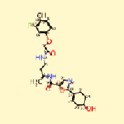 C=C(CCNC(=O)COc1ccc(C)c(F)c1)NC(=O)c1cnc(C2=CCC(O)CC2)o1